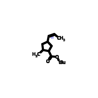 C/C=C\C1CC(C)C(C(=O)OC(C)(C)C)C1